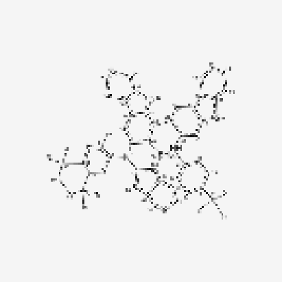 Cc1cc2c(cc1N1c3cc4c(oc5ccccc54)c(-c4cc5c(cc4Nc4ccc(C(C)(C)C)cc4)sc4ccccc45)c3Bc3c1sc1ccccc31)C(C)(C)CCC2(C)C